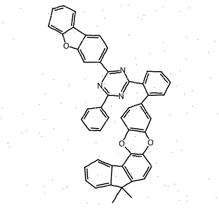 CC1(C)c2ccccc2-c2c1ccc1c2Oc2ccc(-c3ccccc3-c3nc(-c4ccccc4)nc(-c4ccc5c(c4)oc4ccccc45)n3)cc2O1